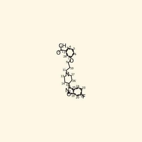 CC(=O)c1cccc(OCCCN2CCC(c3noc4cc(F)ccc34)CC2)c1